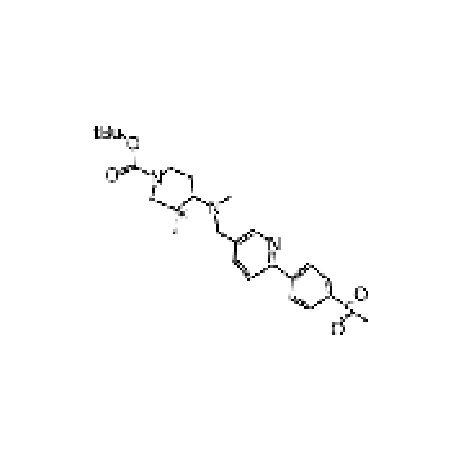 C[C@@H]1CN(C(=O)OC(C)(C)C)CCC1N(C)Cc1ccc(-c2ccc(S(C)(=O)=O)cc2)nc1